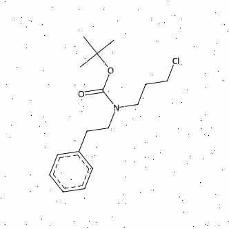 CC(C)(C)OC(=O)N(CCCCl)CCc1ccccc1